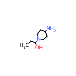 CCC(O)N1CCC(N)CC1